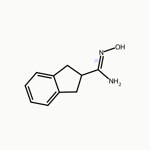 N/C(=N\O)C1Cc2ccccc2C1